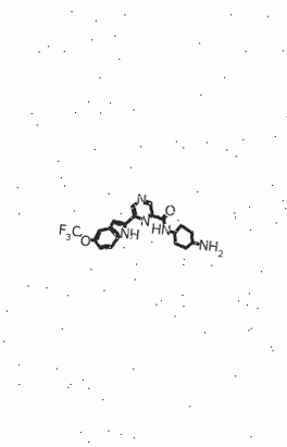 NC1CCC(NC(=O)c2cncc(-c3cc4cc(OC(F)(F)F)ccc4[nH]3)n2)CC1